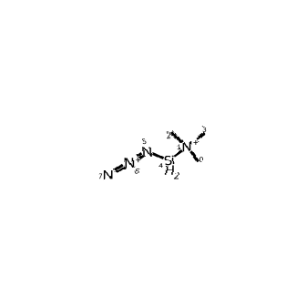 C[N+](C)(C)[SiH2]N=[N+]=[N-]